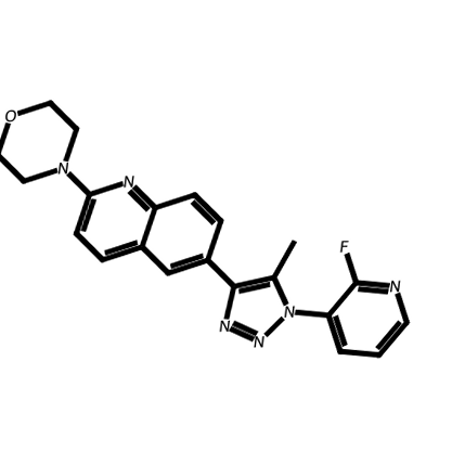 Cc1c(-c2ccc3nc(N4CCOCC4)ccc3c2)nnn1-c1cccnc1F